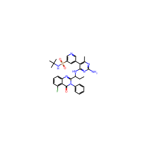 CCC(Nc1nc(N)nc(C)c1-c1cncc(S(=O)(=O)NC(C)(C)C)c1)c1nc2cccc(F)c2c(=O)n1-c1ccccc1